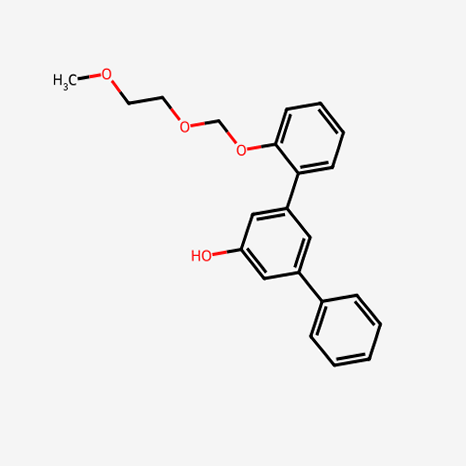 COCCOCOc1ccccc1-c1cc(O)cc(-c2ccccc2)c1